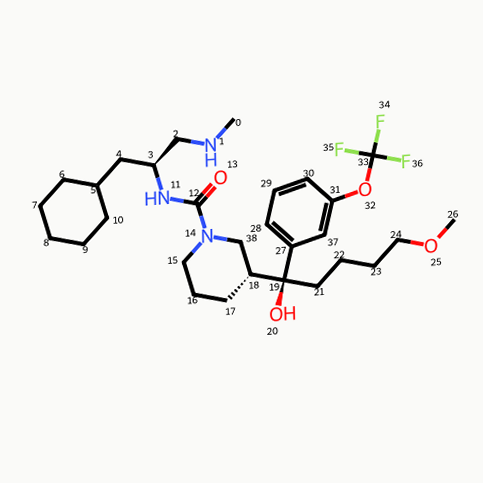 CNC[C@H](CC1CCCCC1)NC(=O)N1CCC[C@@H]([C@@](O)(CCCCOC)c2cccc(OC(F)(F)F)c2)C1